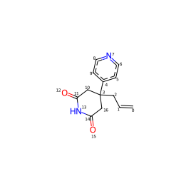 C=CCC1(c2ccncc2)CC(=O)NC(=O)C1